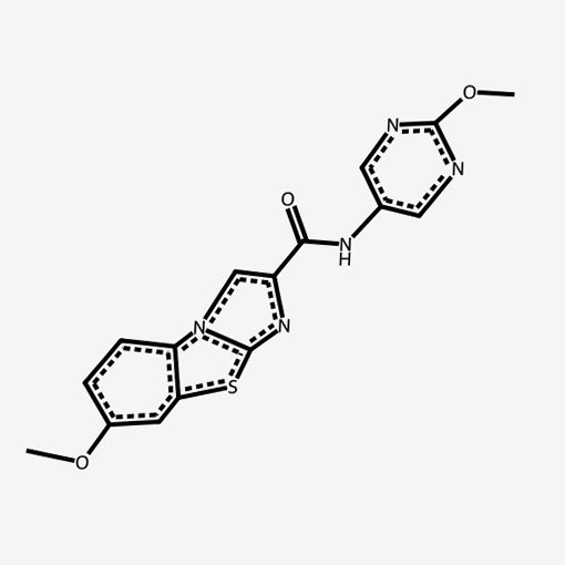 COc1ccc2c(c1)sc1nc(C(=O)Nc3cnc(OC)nc3)cn12